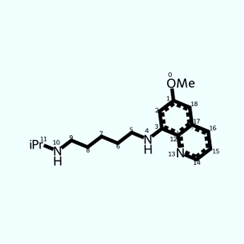 COc1cc(NCCCCCNC(C)C)c2ncccc2c1